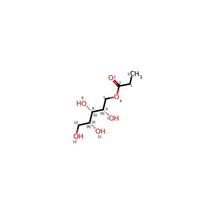 CCC(=O)OC[C@H](O)[C@@H](O)[C@H](O)CO